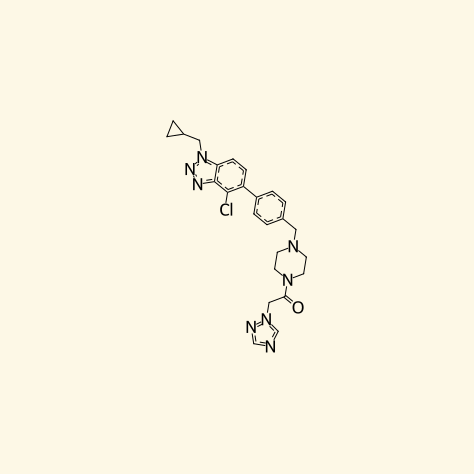 O=C(Cn1cncn1)N1CCN(Cc2ccc(-c3ccc4c(nnn4CC4CC4)c3Cl)cc2)CC1